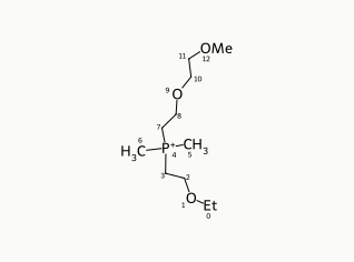 CCOCC[P+](C)(C)CCOCCOC